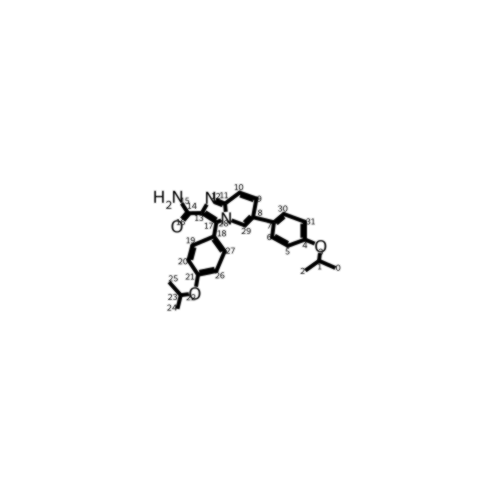 CC(C)Oc1ccc(-c2ccc3nc(C(N)=O)c(-c4ccc(OC(C)C)cc4)n3c2)cc1